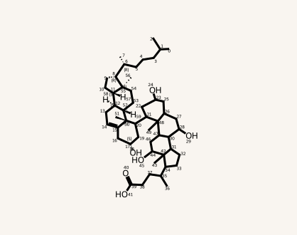 CC(C)CCC[C@@H](C)[C@H]1CC[C@H]2[C@@H]3CC=C4C[C@@H](O)CC(C5CC(O)CC6CC(O)C7C8CCC(C(C)CCC(=O)O)C8(C)C(O)CC7C65C)[C@@]4(C)[C@H]3CC[C@]12C